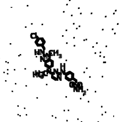 CN(c1ccc2c(c1)nc(NCc1ccc(Cl)cc1)n2C)c1ccnc(Nc2ccc(CS(N)(=O)=O)cc2)n1.Cl